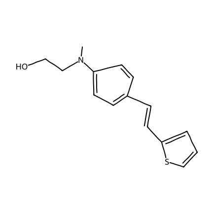 CN(CCO)c1ccc(/C=C/c2cccs2)cc1